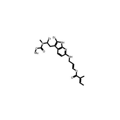 C/C=C(\C)C(=O)O/C=C/CNc1ccc2c(CC(CC)N(C)C(=O)OC(C)(C)C)c(CC)[nH]c2n1